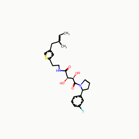 C/C=C(\C)Cc1csc(CCNC(=O)[C@H](O)[C@@H](O)C(=O)N2CCCC2c2cccc(F)c2)c1